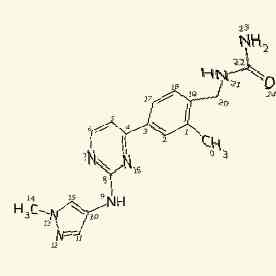 Cc1cc(-c2ccnc(Nc3cnn(C)c3)n2)ccc1CNC(N)=O